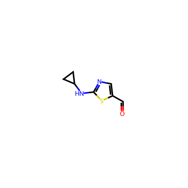 O=Cc1cnc(NC2CC2)s1